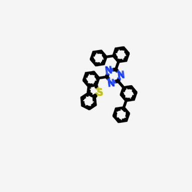 c1ccc(-c2cccc(-c3nc(-c4ccccc4-c4ccccc4)nc(-c4cccc5c4sc4ccccc45)n3)c2)cc1